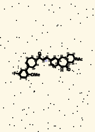 COc1ccc(F)cc1C1=CCCN(C(=O)/C=C/c2cnc3c(c2)CN2CCN(C(C)=O)CC2C(=O)N3)CC1